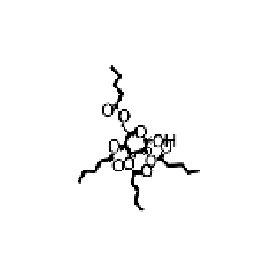 CCCCC(=O)OC[C@H]1O[C@@H](O)[C@@H](OC(=O)CCCC)[C@@H](OC(=O)CCCC)[C@@H]1OC(=O)CCCC